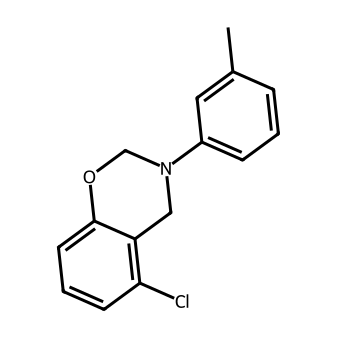 Cc1cccc(N2COc3cccc(Cl)c3C2)c1